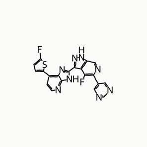 Fc1ccc(-c2ccnc3[nH]c(-c4n[nH]c5cnc(-c6cncnc6)c(F)c45)nc23)s1